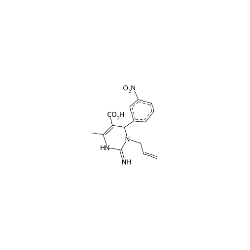 C=CCN1C(=N)NC(C)=C(C(=O)O)C1c1cccc([N+](=O)[O-])c1